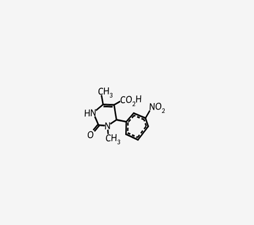 CC1=C(C(=O)O)C(c2cccc([N+](=O)[O-])c2)N(C)C(=O)N1